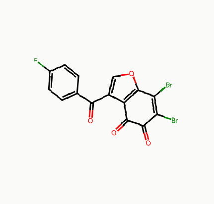 O=C1C(=O)c2c(C(=O)c3ccc(F)cc3)coc2C(Br)=C1Br